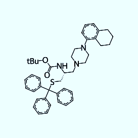 CC(C)(C)OC(=O)N[C@@H](CSC(c1ccccc1)(c1ccccc1)c1ccccc1)CN1CCN(c2cccc3c2CCCC3)CC1